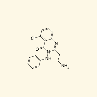 NCCc1nc2cccc(Cl)c2c(=O)n1Nc1ccccc1